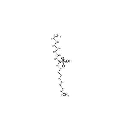 CCCCCCCCCCN(CCCCCCCC)S(=O)(=O)O